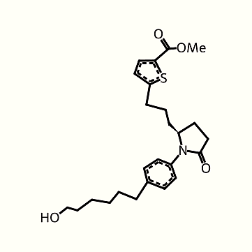 COC(=O)c1ccc(CCC[C@H]2CCC(=O)N2c2ccc(CCCCCCO)cc2)s1